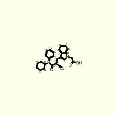 N#C/C(=C\c1cn(CC(=O)O)c2ccccc12)C(=O)N(c1ccccc1)C1CCCCC1